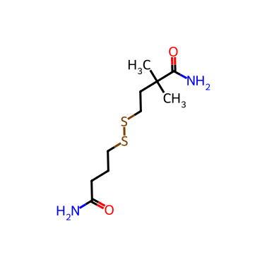 CC(C)(CCSSCCCC(N)=O)C(N)=O